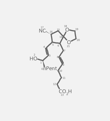 CCCCC[C@@H](O)C=CC1C(CC=CCCCC(=O)O)C2(C[C@H]1C#N)OCCO2